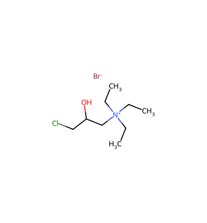 CC[N+](CC)(CC)CC(O)CCl.[Br-]